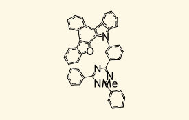 CN/C(=N\C(=N/Cc1ccccc1)c1cccc(-n2c3ccccc3c3c4ccccc4c4c5ccccc5oc4c32)c1)c1ccccc1